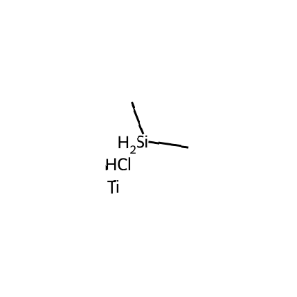 C[SiH2]C.Cl.[Ti]